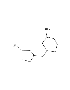 CC(C)(C)C1CCN(CC2CCCN(C(C)(C)C)C2)C1